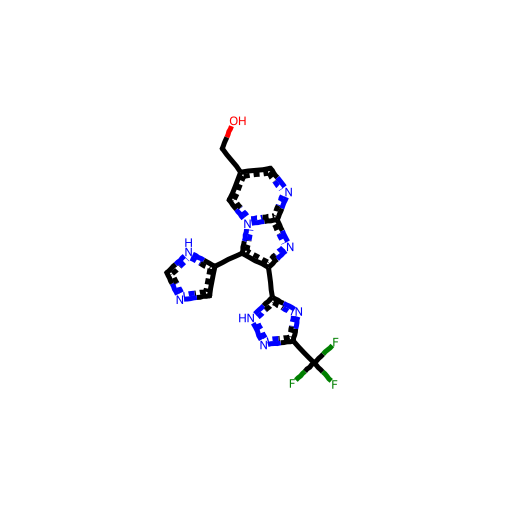 OCc1cnc2nc(-c3nc(C(F)(F)F)n[nH]3)c(-c3cnc[nH]3)n2c1